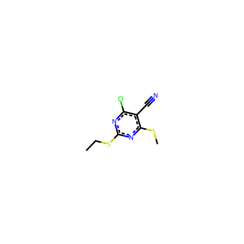 CCSc1nc(Cl)c(C#N)c(SC)n1